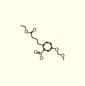 CCOC(=O)CCCc1ccc(OCOC)cc1[N+](=O)[O-]